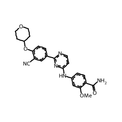 COc1cc(Nc2ccnc(-c3ccc(OC4CCOCC4)c(C#N)c3)n2)ccc1C(N)=O